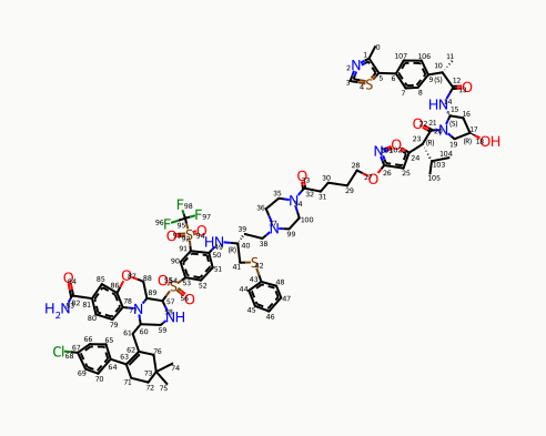 Cc1ncsc1-c1ccc([C@H](C)C(=O)N[C@@H]2C[C@@H](O)CN2C(=O)[C@@H](c2cc(OCCCCC(=O)N3CCN(CC[C@H](CSc4ccccc4)Nc4ccc(S(=O)(=O)C5NCC(CC6=C(c7ccc(Cl)cc7)CCC(C)(C)C6)N6c7ccc(C(N)=O)cc7OCC56)cc4S(=O)(=O)C(F)(F)F)CC3)no2)C(C)C)cc1